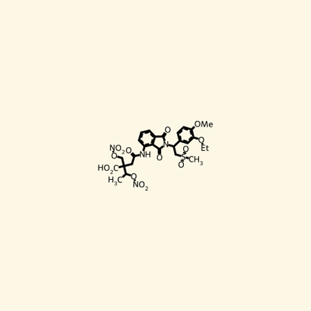 CCOc1cc(C(CS(C)(=O)=O)N2C(=O)c3cccc(NC(=O)CC(CO[N+](=O)[O-])(C(=O)O)C(C)O[N+](=O)[O-])c3C2=O)ccc1OC